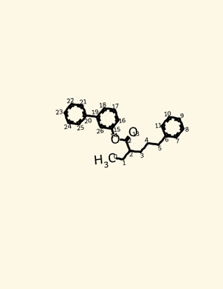 CCC(CCCc1ccccc1)C(=O)Oc1cccc(-c2ccccc2)c1